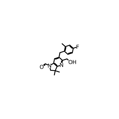 Cc1cc(F)ccc1Cc1cc2c(nc1CO)C(C)(C)CN2C=O